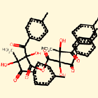 Cc1ccc(C(=O)C(O)(C(=O)O)C(O)(C(=O)OC(=O)C(O)(C(=O)c2ccc(C)cc2)C(O)(C(=O)O)C(=O)c2ccc(C)cc2)C(=O)c2ccc(C)cc2)cc1